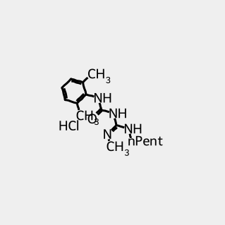 CCCCCNC(=NC)NC(=O)Nc1c(C)cccc1C.Cl